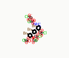 [NH3+][O][Sb](=[O])([O-])[Cl].[O]=[Sb]([O-])([Cl])[O]c1ccc(Br)cc1.[O]=[Sb]([O-])([Cl])[O]c1ccc(Br)cc1.[O]=[Sb]([O-])([Cl])[O]c1ccc(Br)cc1.[O]=[Sb]([O-])([O-])[Cl].[O]=[Sb]([O-])([O-])[Cl]